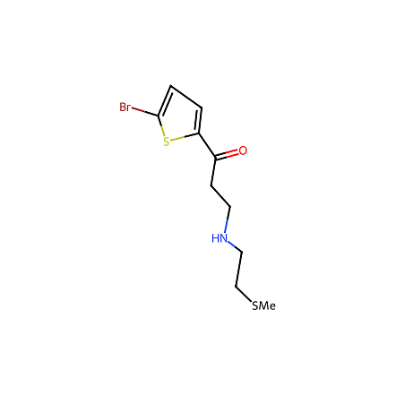 CSCCNCCC(=O)c1ccc(Br)s1